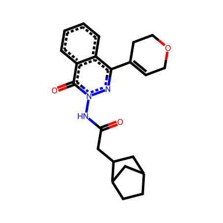 O=C(CC1CC2CCC1C2)Nn1nc(C2=CCOCC2)c2ccccc2c1=O